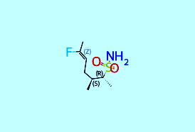 C/C(F)=C/C[C@H](C)[C@@H](C)S(N)(=O)=O